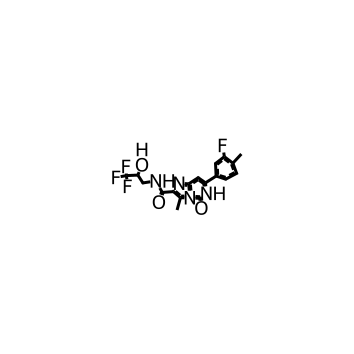 Cc1ccc(-c2cc3nc(C(=O)NCC(O)C(F)(F)F)c(C)n3c(=O)[nH]2)cc1F